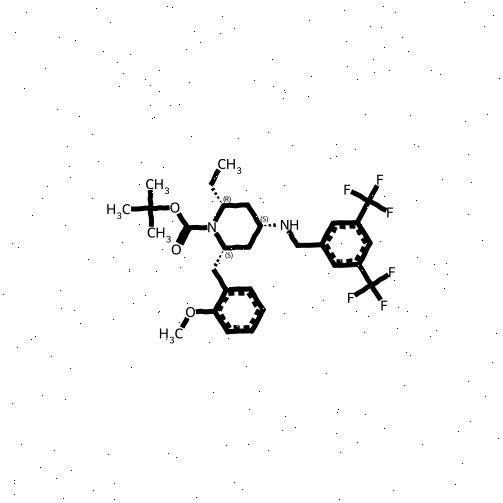 CC[C@@H]1C[C@H](NCc2cc(C(F)(F)F)cc(C(F)(F)F)c2)C[C@H](Cc2ccccc2OC)N1C(=O)OC(C)(C)C